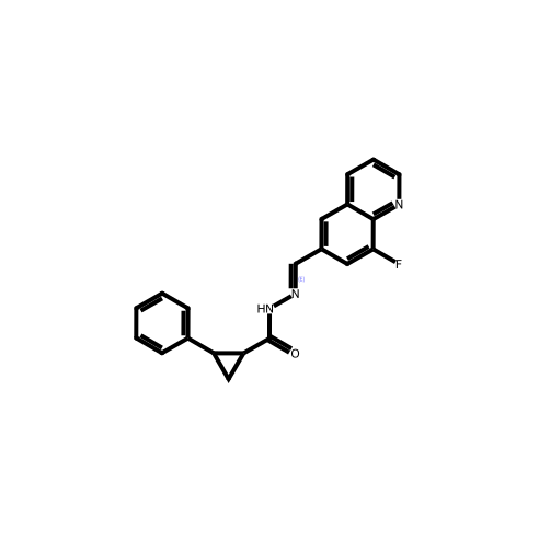 O=C(N/N=C/c1cc(F)c2ncccc2c1)C1CC1c1ccccc1